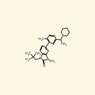 Cc1ccc(C(C)N2CCCCC2)cc1-c1ccc2c(n1)n(C)c(=O)n2CC(C)(C)C